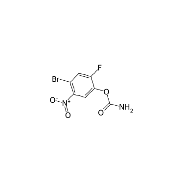 NC(=O)Oc1cc([N+](=O)[O-])c(Br)cc1F